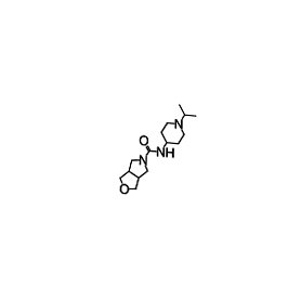 CC(C)N1CCC(NC(=O)N2CC3COCC3C2)CC1